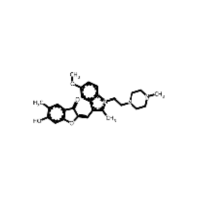 COc1ccc2c(c1)c(C=C1Oc3cc(O)c(C)cc3C1=O)c(C)n2CCN1CCN(C)CC1